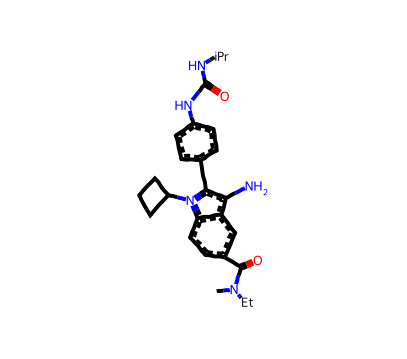 CCN(C)C(=O)c1ccc2c(c1)c(N)c(-c1ccc(NC(=O)NC(C)C)cc1)n2C1CCC1